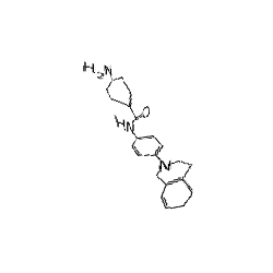 NC1CCC(C(=O)Nc2ccc(N3CCC4=C(C=CCC4)C3)cc2)CC1